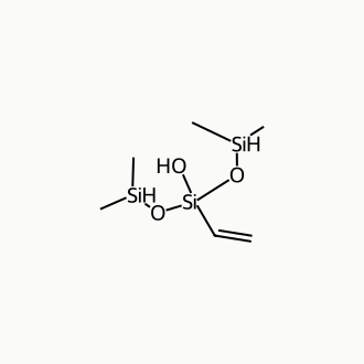 C=C[Si](O)(O[SiH](C)C)O[SiH](C)C